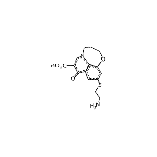 NCCSc1cc2c3c(c1)c(=O)c(C(=O)O)cn3CCCO2